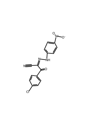 N#CC(=NNc1ccc([N+](=O)[O-])cc1)C(=O)c1ccc(Cl)cc1